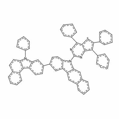 c1ccc(-c2sc3c(-c4ccccc4)nc(-n4c5ccc(-c6ccc7c8c9ccccc9ccc8n(-c8ccccc8)c7c6)cc5c5cc6ccccc6cc54)nc3c2-c2ccccc2)cc1